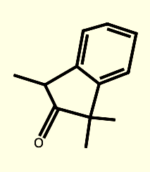 CC1C(=O)C(C)(C)c2ccccc21